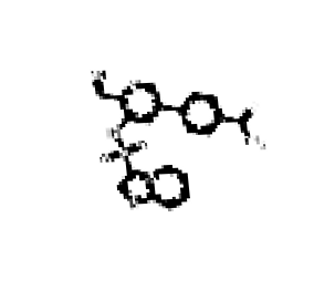 CC(=O)c1ccc(-c2cnc(C=N)c(NS(=O)(=O)c3cnc4ccccn34)c2)cc1